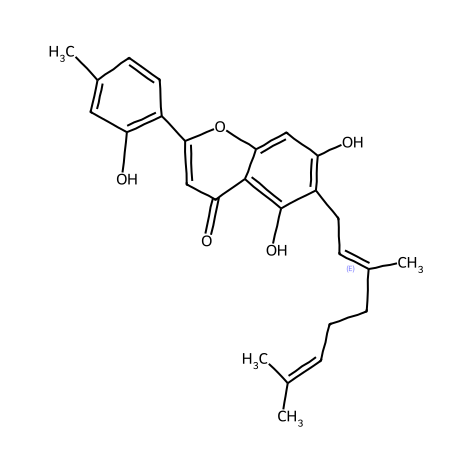 CC(C)=CCC/C(C)=C/Cc1c(O)cc2oc(-c3ccc(C)cc3O)cc(=O)c2c1O